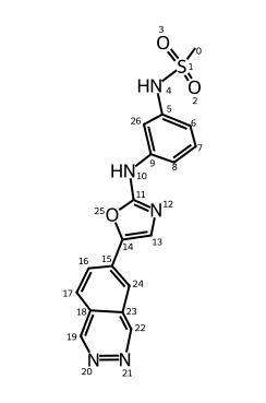 CS(=O)(=O)Nc1cccc(Nc2ncc(-c3ccc4cnncc4c3)o2)c1